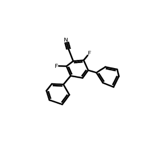 N#Cc1c(F)c(-c2ccccc2)cc(-c2ccccc2)c1F